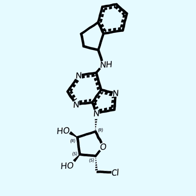 O[C@@H]1[C@H](O)[C@@H](CCl)O[C@H]1n1cnc2c(NC3CCc4ccccc43)ncnc21